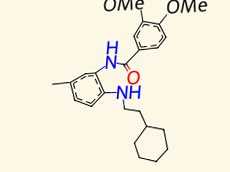 COc1ccc(C(=O)Nc2cc(C)ccc2NCCC2CCCCC2)cc1OC